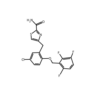 NC(=O)c1nc(Cc2cc(Cl)ccc2OCc2c(F)ccc(F)c2F)cs1